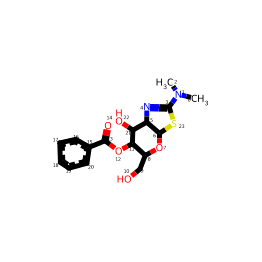 CN(C)C1=NC2C(OC(CO)C(OC(=O)c3ccccc3)C2O)S1